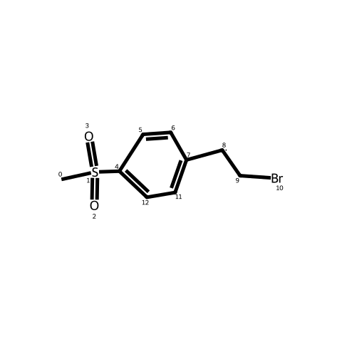 CS(=O)(=O)c1ccc([CH]CBr)cc1